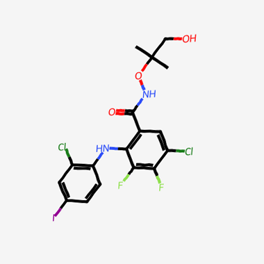 CC(C)(CO)ONC(=O)c1cc(Cl)c(F)c(F)c1Nc1ccc(I)cc1Cl